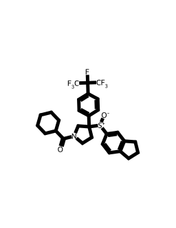 O=C(C1CCCCC1)N1CCC(c2ccc(C(F)(C(F)(F)F)C(F)(F)F)cc2)([S+]([O-])c2ccc3c(c2)CCC3)C1